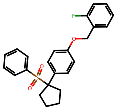 O=S(=O)(c1ccccc1)C1(c2ccc(OCc3ccccc3F)cc2)CCCC1